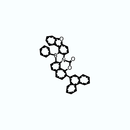 O=C1Oc2c(-c3cc4ccccc4c4ccccc34)ccc3ccc4c(c23)N1c1ccc2oc3ccccc3c2c1B4c1ccccc1